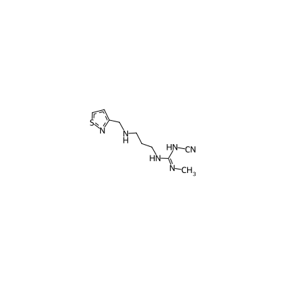 CN=C(NC#N)NCCCNCc1ccsn1